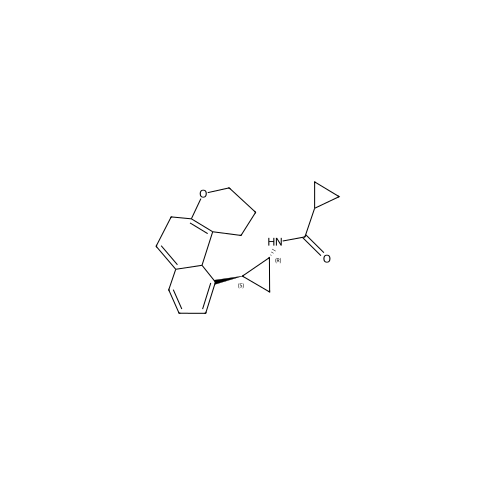 O=C(N[C@@H]1C[C@H]1C1=CC=CC2=CCC3=C(CCCO3)C21)C1CC1